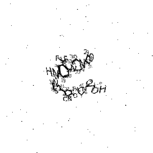 C[C@H](O)C(=O)N1CC[C@H](Oc2ccc(C3=CN(Nc4ccc(N5CCN(C6COC6)CC5)c(C(F)F)c4)C=CS3)cc2C#N)[C@H](F)C1